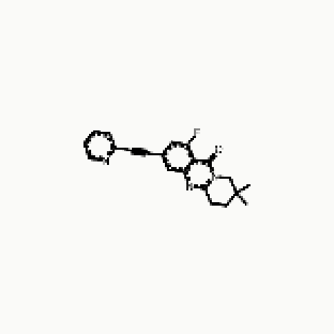 CC1(C)CCc2nc3cc(C#Cc4ccccn4)cc(F)c3c(=O)n2C1